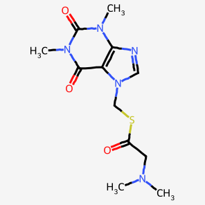 CN(C)CC(=O)SCn1cnc2c1c(=O)n(C)c(=O)n2C